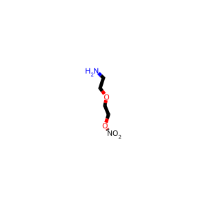 NCCOCCO[N+](=O)[O-]